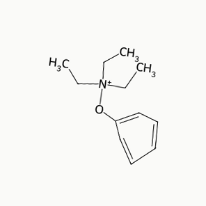 CC[N+](CC)(CC)Oc1ccccc1